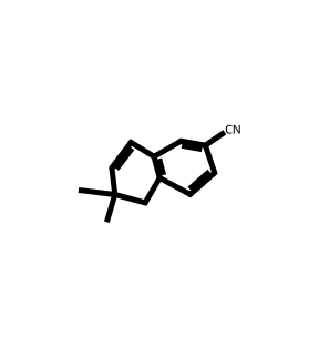 CC1(C)C=Cc2cc(C#N)ccc2C1